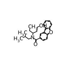 CCC(CCO)N(CC(C)C)C(=O)c1ccc2oc3ccccc3c2c1